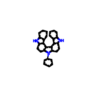 c1ccc(-n2c3ccc4[nH]c5ccccc5c4c3c3c4c(ccc32)[nH]c2ccccc24)cc1